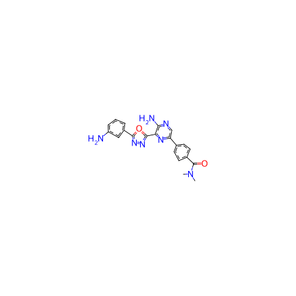 CN(C)C(=O)c1ccc(-c2cnc(N)c(-c3nnc(-c4cccc(N)c4)o3)n2)cc1